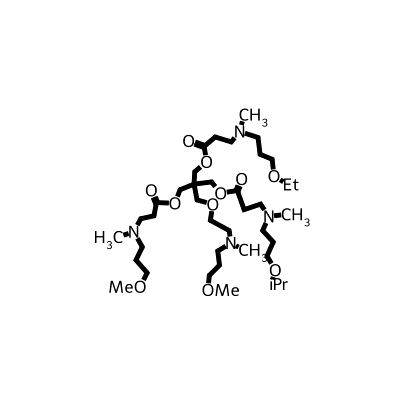 CCOCCCN(C)CCC(=O)OCC(COCCN(C)CCCOC)(COC(=O)CCN(C)CCCOC)COC(=O)CCN(C)CCCOC(C)C